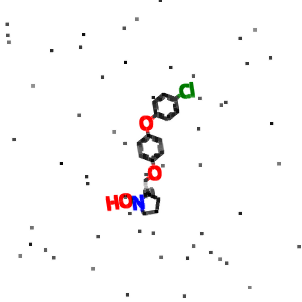 ON1CCC[C@H]1COc1ccc(Oc2ccc(Cl)cc2)cc1